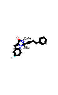 CCCCC1(C#CCCc2ccccc2)N(OC)C(=O)c2cc3cc(F)ccc3n21